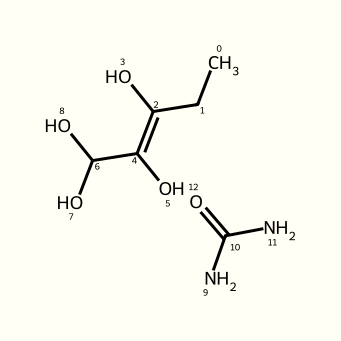 CCC(O)=C(O)C(O)O.NC(N)=O